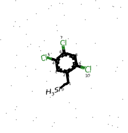 [SiH3]Cc1cc(Cl)c(Cl)cc1Cl